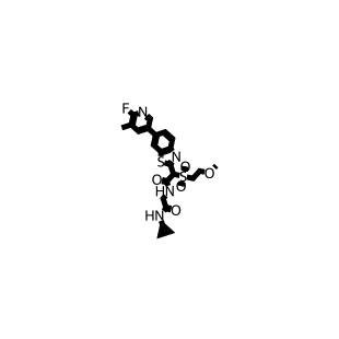 COCCS(=O)(=O)C(C(=O)NCC(=O)NC1CC1)c1nc2ccc(-c3cnc(F)c(C)c3)cc2s1